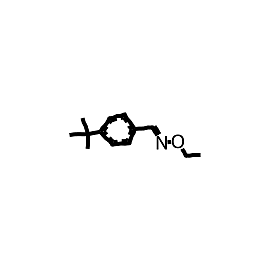 CCO/N=C/c1ccc(C(C)(C)C)cc1